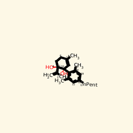 C=C(C)[C@]1(O)CCC(C)=C[C@@]1(O)c1c(C)cc(CCCCC)cc1C